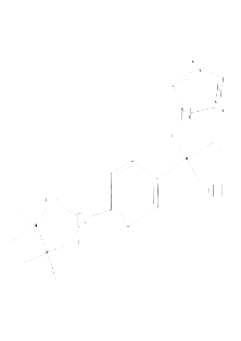 CCC(O)(Cn1cncn1)c1ccc(B2OC(C)(C)C(C)(C)O2)cc1